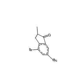 CC1Cc2c(Br)cc(C(C)(C)C)cc2C1=O